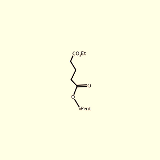 CCCCCOC(=O)CCCC(=O)OCC